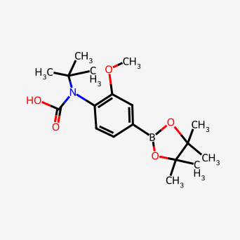 COc1cc(B2OC(C)(C)C(C)(C)O2)ccc1N(C(=O)O)C(C)(C)C